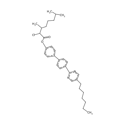 CCCCCCCc1cnc(-c2ccc(-c3ccc(OC(=O)C(Cl)C(C)CCCC(C)C)cc3)cc2)nc1